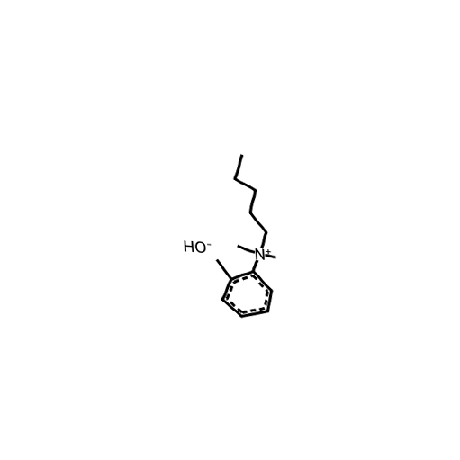 CCCCC[N+](C)(C)c1ccccc1C.[OH-]